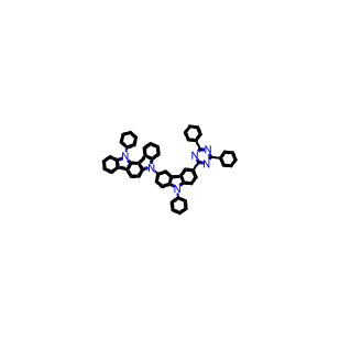 c1ccc(-c2nc(-c3ccccc3)nc(-c3ccc4c(c3)c3cc(-n5c6ccccc6c6c5ccc5c7ccccc7n(-c7ccccc7)c56)ccc3n4-c3ccccc3)n2)cc1